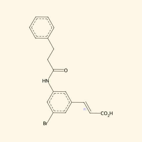 O=C(O)/C=C/c1cc(Br)cc(NC(=O)CCc2ccccc2)c1